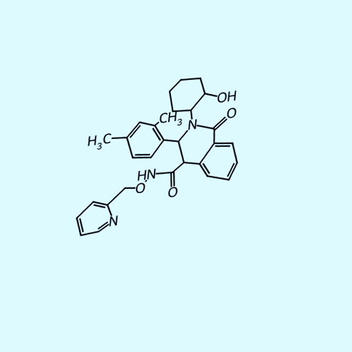 Cc1ccc(C2C(C(=O)NOCc3ccccn3)c3ccccc3C(=O)N2C2CCCCC2O)c(C)c1